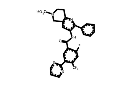 O=C(Nc1cc2c(nc1-c1ccccc1)CCN(C(=O)O)C2)c1cc(-c2ncccn2)c(C(F)(F)F)cc1F